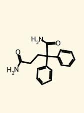 NC(=O)CCC(C(N)=O)(c1ccccc1)c1ccccc1